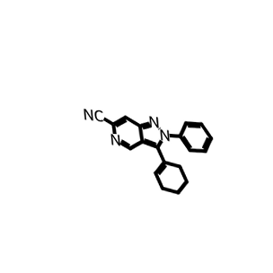 N#Cc1cc2nn(-c3ccccc3)c(C3=CCCCC3)c2cn1